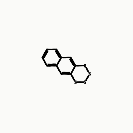 c1ccc2cc3ssssc3cc2c1